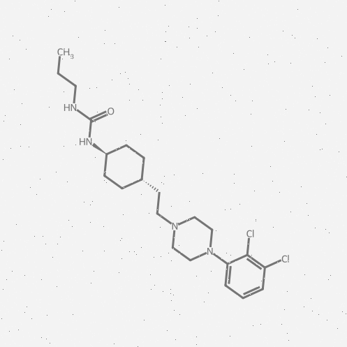 CCCNC(=O)N[C@H]1CC[C@H](CCN2CCN(c3cccc(Cl)c3Cl)CC2)CC1